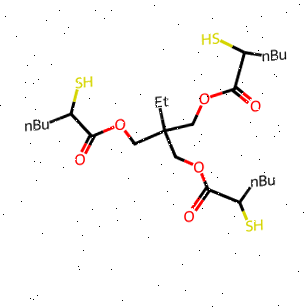 CCCCC(S)C(=O)OCC(CC)(COC(=O)C(S)CCCC)COC(=O)C(S)CCCC